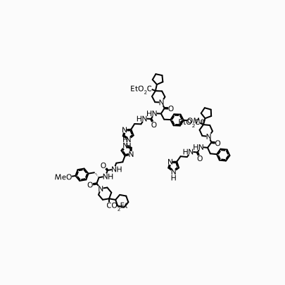 CCOC(=O)C1(C2CCCC2)CCN(C(=O)C(Cc2ccc(OC)cc2)NC(=O)NCCc2c[nH]cn2)CC1.CCOC(=O)C1(C2CCCC2)CCN(C(=O)C(Cc2ccccc2)NC(=O)NCCc2c[nH]cn2)CC1.CCOC(=O)C1(C2CCCCC2)CCN(C(=O)[C@H](Cc2ccc(OC)cc2)NC(=O)NCCc2c[nH]cn2)CC1